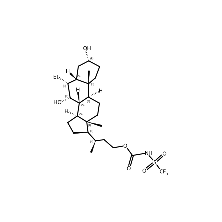 CC[C@H]1[C@@H](O)[C@@H]2[C@H](CC[C@]3(C)[C@@H]([C@H](C)CCOC(=O)NS(=O)(=O)C(F)(F)F)CC[C@@H]23)[C@@]2(C)CC[C@@H](O)C[C@@H]12